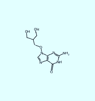 Nc1nc2c(ncn2OCC(CO)CO)c(=O)[nH]1